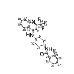 O=C(N[C@H]1CC[C@@H](Nc2cc(C(F)(F)F)nc3ccccc23)CC1)c1ccccc1F